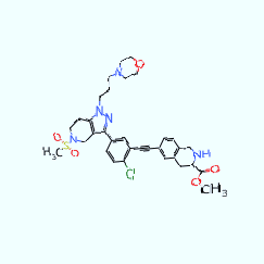 COC(=O)C1Cc2cc(C#Cc3cc(-c4nn(CCCN5CCOCC5)c5c4CN(S(C)(=O)=O)CC5)ccc3Cl)ccc2CN1